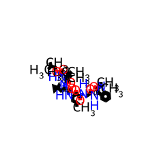 CCCC(NC(=O)[C@@H]1CC2(CC2)CN1C(=O)[C@@H](NC(=O)OCC(C)C)C(C)(C)C)C(=O)C(=O)NCC(=O)N[C@H](C(=O)N(C)C)c1ccccc1